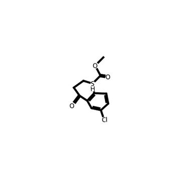 COC(=O)[SH]1CCC(=O)c2cc(Cl)ccc21